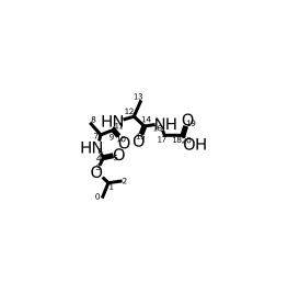 CC(C)OC(=O)NC(C)C(=O)NC(C)C(=O)NCC(=O)O